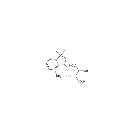 CC1CC(C)(C)c2cccc(N)c21.O=C(O)C(O)C(O)C(=O)O